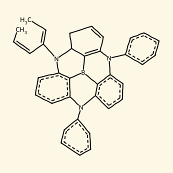 C/C=C\C(=C/C)N1c2cccc3c2B2C4=C(C=CCC41)N(c1ccccc1)c1cccc(c12)N3c1ccccc1